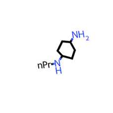 [CH2]CCNC1CCC(N)CC1